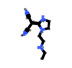 CCNCCN1CCNC1=C(C#N)C#N